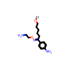 CCOCCCCCC(=NOCCN)c1ccc(N)cc1